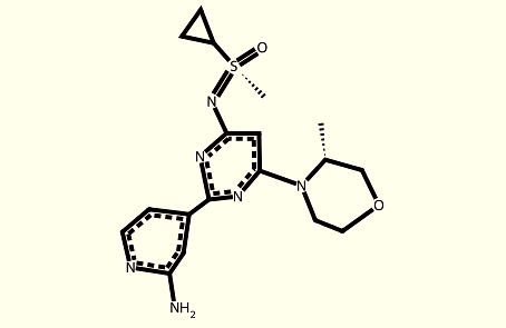 C[C@@H]1COCCN1c1cc(N=[S@](C)(=O)C2CC2)nc(-c2ccnc(N)c2)n1